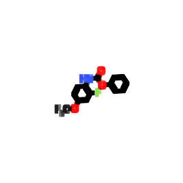 O=C(Nc1ccc(OC(F)(F)F)cc1F)Oc1ccccc1